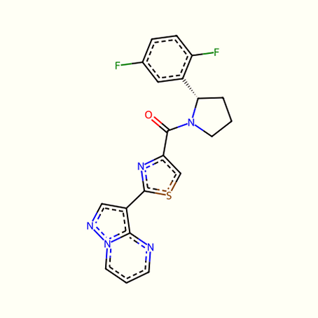 O=C(c1csc(-c2cnn3cccnc23)n1)N1CCC[C@H]1c1cc(F)ccc1F